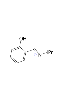 CC(C)/N=C/c1ccccc1O